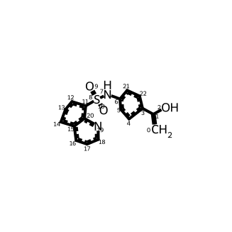 C=C(O)c1ccc(NS(=O)(=O)c2cccc3cccnc23)cc1